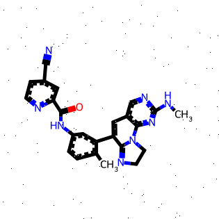 CNc1ncc2c(n1)N1CCN=C1C(c1cc(NC(=O)c3cc(C#N)ccn3)ccc1C)=C2